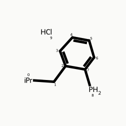 CC(C)Cc1ccccc1P.Cl